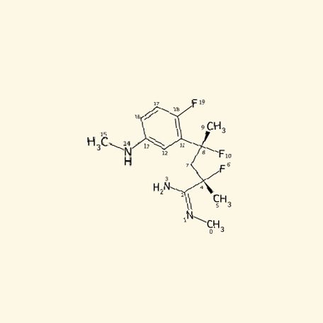 C/N=C(/N)[C@@](C)(F)C[C@@](C)(F)c1cc(NC)ccc1F